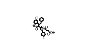 O=C(O)CCC(=O)N1N=C(c2c(Cc3ccccc3)c3cc(Cl)ccc3[nH]c2=O)CC1c1ccc(F)cc1